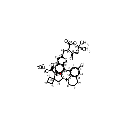 CC(C)(C)OC(=O)N1C[C@@H](N2CCCc3cc(Cl)cc(-c4ccnc5cc(CC6C(=O)OC(C)(C)OC6=O)sc45)c32)CC12CCC2